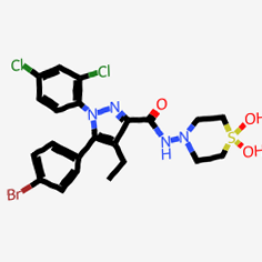 CCc1c(C(=O)NN2CCS(O)(O)CC2)nn(-c2ccc(Cl)cc2Cl)c1-c1ccc(Br)cc1